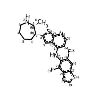 C[C@H]1NCCCC[C@H]1c1cc2c(Nc3c(F)cc4scnc4c3F)ccnc2s1